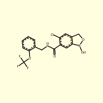 O=C(NCc1ccccc1OC(F)(F)F)c1cc2c(cc1Cl)COB2O